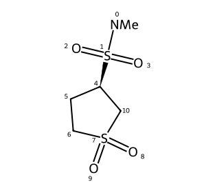 CNS(=O)(=O)[C@@H]1CCS(=O)(=O)C1